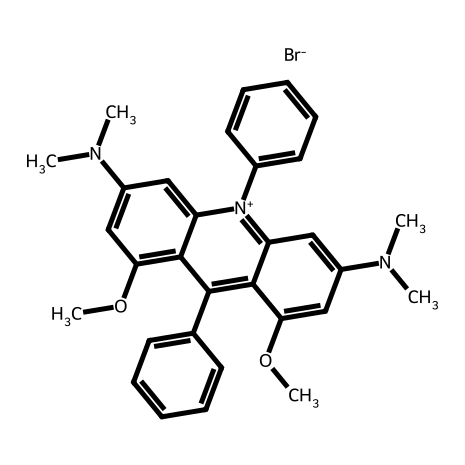 COc1cc(N(C)C)cc2c1c(-c1ccccc1)c1c(OC)cc(N(C)C)cc1[n+]2-c1ccccc1.[Br-]